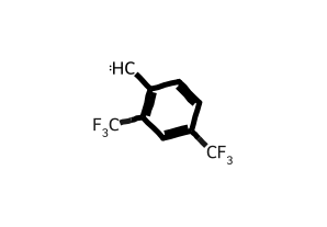 [CH]c1ccc(C(F)(F)F)cc1C(F)(F)F